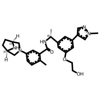 Cc1ccc(N2C[C@H]3CC[C@@H](C2)N3)cc1C(=O)N[C@H](C)c1cc(OCCO)cc(-c2cnn(C)c2)c1